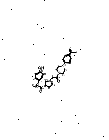 C=C(C)c1ccc(N2CCN(C(=O)CN3CC[C@H](C(=O)N(C)c4ccc(O)cc4)C3)CC2)cc1